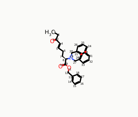 CCC(=O)/C=C/CC[C@H](C(=O)OCc1ccccc1)N(Cc1ccccc1)Cc1ccccc1